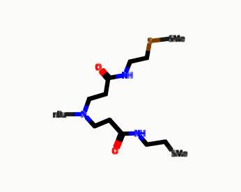 CCCCN(CCC(=O)NCCSC)CCC(=O)NCCSSC